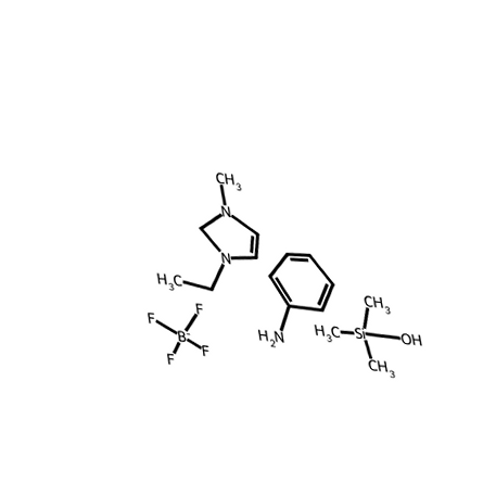 CCN1C=CN(C)C1.C[Si](C)(C)O.F[B-](F)(F)F.Nc1ccccc1